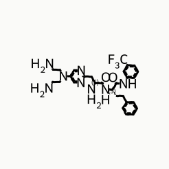 NCCN(CCN)c1cnc(C[C@H](N)C(=O)N[C@@H](CCc2ccccc2)C(=O)Nc2cccc(C(F)(F)F)c2)nc1